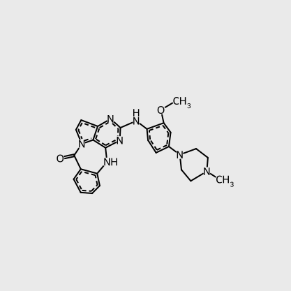 COc1cc(N2CCN(C)CC2)ccc1Nc1nc2c3c(ccn3C(=O)c3ccccc3N2)n1